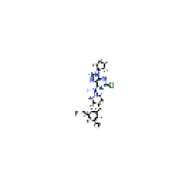 FC(F)(F)c1cc(CC2CCN(Nc3nc(Cl)nc4c3ncn4C3CCCC3)CC2)cc(C(F)(F)F)c1